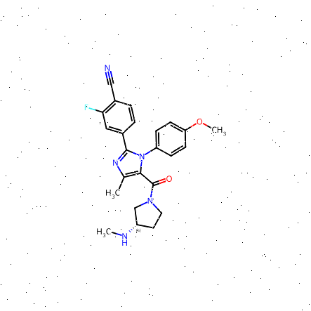 CN[C@H]1CCN(C(=O)c2c(C)nc(-c3ccc(C#N)c(F)c3)n2-c2ccc(OC)cc2)C1